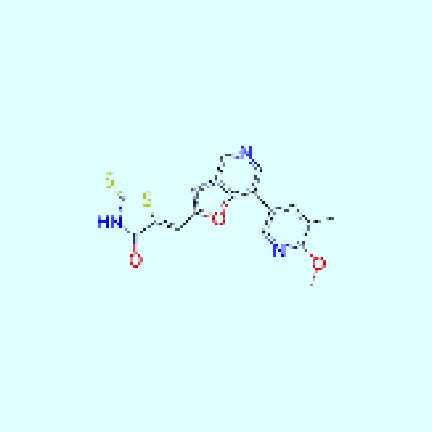 COc1ncc(-c2cncc3cc(/C=C4\SC(=S)NC4=O)oc23)cc1C